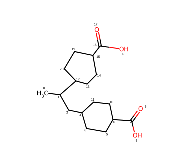 CC(CC1CCC(C(=O)O)CC1)C1CCC(C(=O)O)CC1